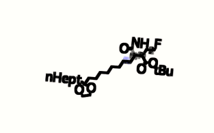 CCCCCCCC1(CCCCCC/C=C/[C@H](C(N)=O)[C@@H](CCF)C(=O)OC(C)(C)C)OCCO1